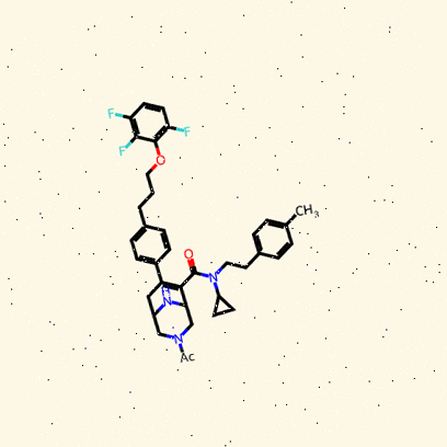 CC(=O)N1CC2CC(c3ccc(CCCOc4c(F)ccc(F)c4F)cc3)=C(C(=O)N(CCc3ccc(C)cc3)C3CC3)C(C1)N2